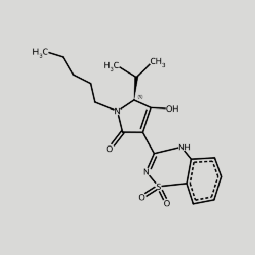 CCCCCN1C(=O)C(C2=NS(=O)(=O)c3ccccc3N2)=C(O)[C@@H]1C(C)C